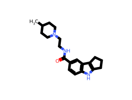 CC1CCN(CCNC(=O)c2ccc3[nH]c4c(c3c2)CCC4)CC1